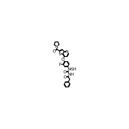 O=C(Cc1ccccc1)NC(=O)N(S)c1ccc(Oc2ccnc3cc(C(=O)N4CCCC4)sc23)c(F)c1